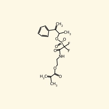 C=C(C)C(=O)OCCNC(=O)C(F)(F)S(=O)(=O)OC(C)C(=C)c1ccccc1